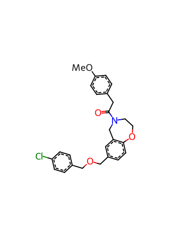 COc1ccc(CC(=O)N2CCOc3ccc(COCc4ccc(Cl)cc4)cc3C2)cc1